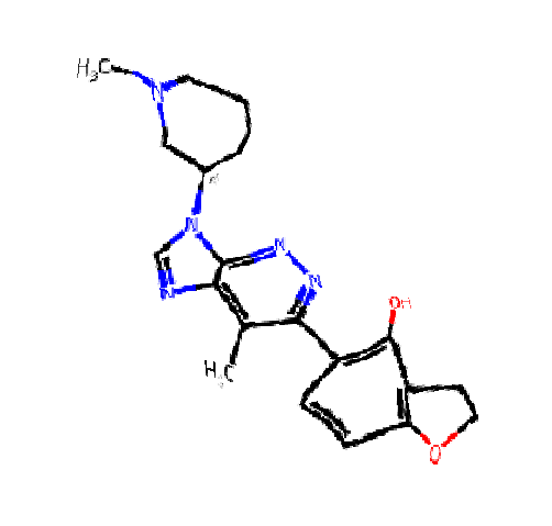 Cc1c(-c2ccc3c(c2O)CCO3)nnc2c1ncn2[C@@H]1CCCN(C)C1